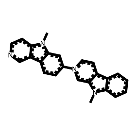 Cn1c2ccncc2c2ccc(-[n+]3ccc4c5ccccc5n(C)c4c3)cc21